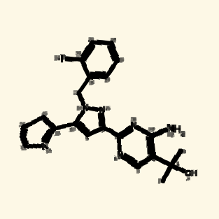 CC(C)(O)c1cnc(-c2cc(C3=NC=CC3)n(Cc3ccccc3F)n2)nc1N